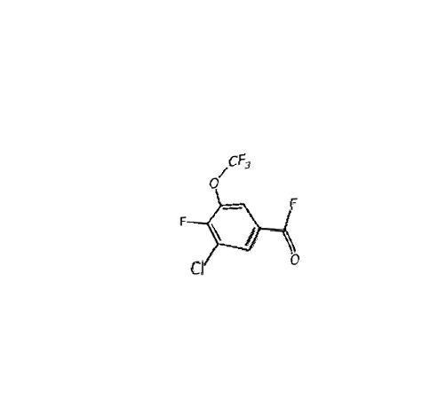 O=C(F)c1cc(Cl)c(F)c(OC(F)(F)F)c1